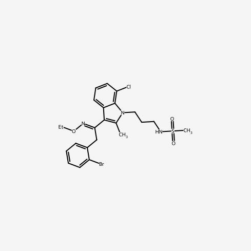 CCON=C(Cc1ccccc1Br)c1c(C)n(CCCNS(C)(=O)=O)c2c(Cl)cccc12